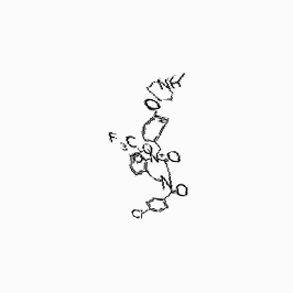 O=C(c1ccc(Cl)cc1)N1CC(=O)[N+](Cc2ccc(OC3CCNCC3)cc2)(OC(=O)C(F)(F)F)c2ccccc2C1